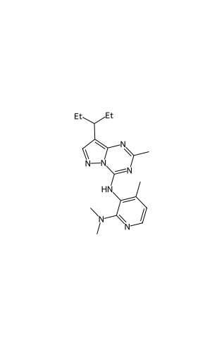 CCC(CC)c1cnn2c(Nc3c(C)ccnc3N(C)C)nc(C)nc12